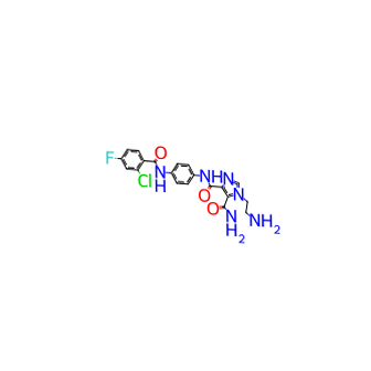 NCCn1cnc(C(=O)Nc2ccc(NC(=O)c3ccc(F)cc3Cl)cc2)c1C(N)=O